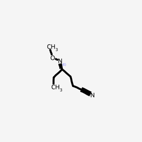 CC/C(CCC#N)=N\OC